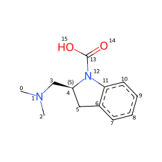 CN(C)C[C@@H]1Cc2ccccc2N1C(=O)O